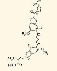 COc1cc2sc(CCC(C)C(=O)O)cc2c(F)c1OCCCOc1c(OC)cc2sc(C(=O)[C@@H]3CC[C@H]3C(=O)O)cc2c1F